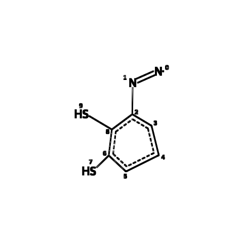 [N]=Nc1cccc(S)c1S